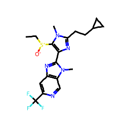 CC[S+]([O-])c1c(-c2nc3cc(C(F)(F)F)ncc3n2C)nc(CCC2CC2)n1C